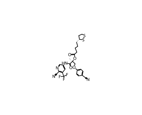 C[C@@](COc1ccc(C#N)cc1)(OC(=O)CCCC[C@@H]1CCSS1)C(=O)Nc1cnc(C#N)c(C(F)(F)F)c1